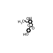 C=CCc1c(O)ccc2c1OC(c1ccc(O)cc1)C(=O)C2